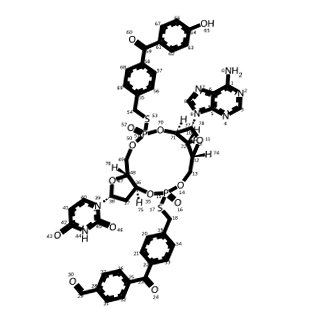 Nc1ncnc2c1ncn2[C@@H]1O[C@@H]2COP(=O)(SCc3ccc(C(=O)c4ccc(C=O)cc4)cc3)O[C@H]3C[C@H](n4ccc(=O)[nH]c4=O)O[C@@H]3COP(=O)(SCc3ccc(C(=O)c4ccc(O)cc4)cc3)O[C@@H]1[C@@H]2F